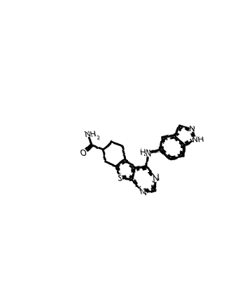 NC(=O)C1CCc2c(sc3ncnc(Nc4ccc5[nH]ncc5c4)c23)C1